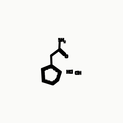 Cl.Cl.NC(=O)Cc1ccccc1